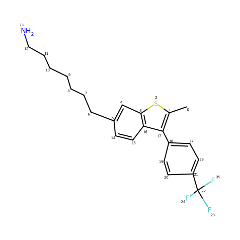 Cc1sc2cc(CCCCCCCN)ccc2c1-c1ccc(C(F)(F)F)cc1